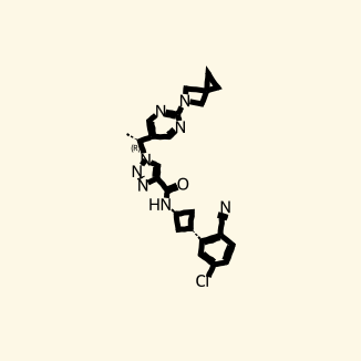 C[C@H](c1cnc(N2CC3(CC3)C2)nc1)n1cc(C(=O)N[C@H]2C[C@@H](c3cc(Cl)ccc3C#N)C2)nn1